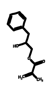 C=C(C)C(=O)OCC(O)Cc1ccccc1